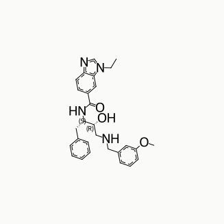 CCn1cnc2ccc(C(=O)N[C@@H](Cc3ccccc3)[C@H](O)CNCc3cccc(OC)c3)cc21